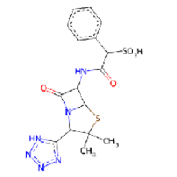 CC1(C)SC2C(NC(=O)C(c3ccccc3)S(=O)(=O)O)C(=O)N2C1c1nnn[nH]1